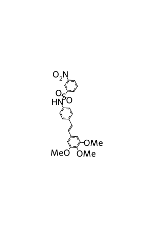 COc1cc(C=Cc2ccc(NS(=O)(=O)c3cccc([N+](=O)[O-])c3)cc2)cc(OC)c1OC